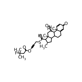 C[C@@H]1CC2C3CCC4=CC(=O)C=CC4(C)C3C(N=O)CC2(C)C1C(=O)SCC#COC(=O)CC(C)(C)F